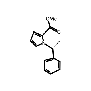 COC(=O)c1cccn1[C@H](C)c1ccccc1